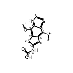 COc1c2cccnc2c(OC)c2sc(NC(=O)O)cc12